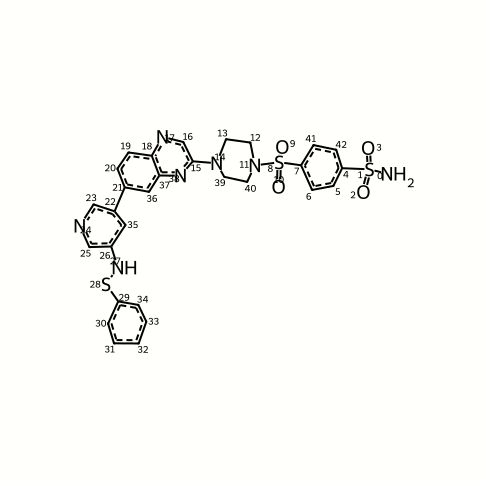 NS(=O)(=O)c1ccc(S(=O)(=O)N2CCN(c3cnc4ccc(-c5cncc(NSc6ccccc6)c5)cc4n3)CC2)cc1